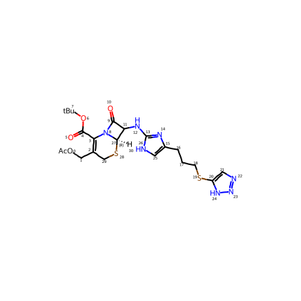 CC(=O)OCC1=C(C(=O)OC(C)(C)C)N2C(=O)C(Nc3nc(CCCSc4cnn[nH]4)c[nH]3)[C@H]2SC1